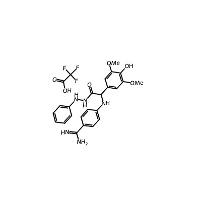 COc1cc(C(Nc2ccc(C(=N)N)cc2)C(=O)NNc2ccccc2)cc(OC)c1O.O=C(O)C(F)(F)F